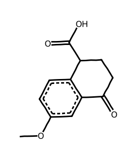 COc1ccc2c(c1)C(=O)CCC2C(=O)O